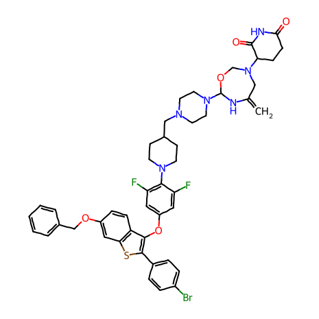 C=C1CN(C2CCC(=O)NC2=O)COC(N2CCN(CC3CCN(c4c(F)cc(Oc5c(-c6ccc(Br)cc6)sc6cc(OCc7ccccc7)ccc56)cc4F)CC3)CC2)N1